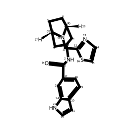 O=C(NC1C[C@H]2CC[C@@H](C1)N2Cc1nccs1)c1ccc2cc[nH]c2c1